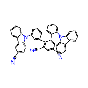 N#Cc1cc(C#N)c(-c2cccc(-n3c4ccccc4c4cc(C#N)ccc43)c2)c(-c2ccccc2-n2c3ccccc3c3ccccc32)c1